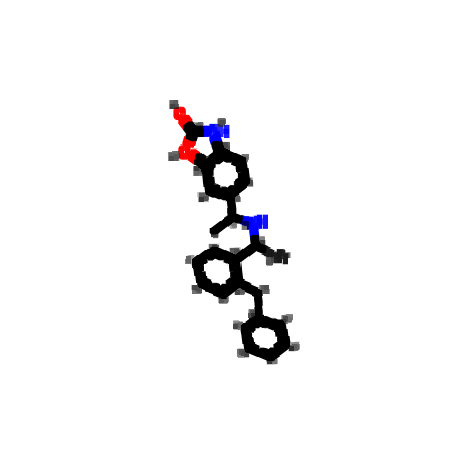 CCCC(NC(C)c1ccc2[nH]c(=O)oc2c1)c1ccccc1Cc1ccccc1